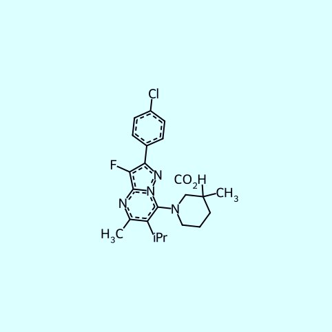 Cc1nc2c(F)c(-c3ccc(Cl)cc3)nn2c(N2CCCC(C)(C(=O)O)C2)c1C(C)C